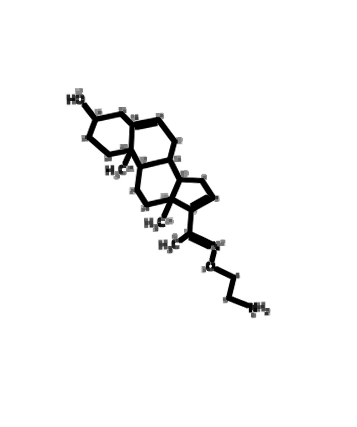 C/C(=N\OCCN)C1=CCC2C3CC=C4CC(O)CCC4(C)C3CCC12C